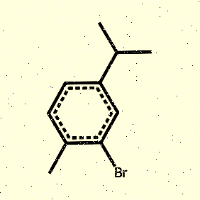 Cc1ccc(C(C)C)cc1Br